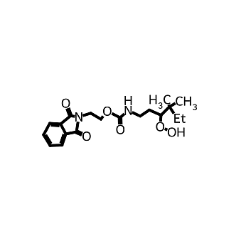 CCC(C)(C)C(CCNC(=O)OCCN1C(=O)c2ccccc2C1=O)OO